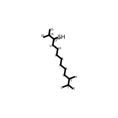 CC(C)C(C)CCCCCCCC(S)C(C)C